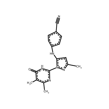 Cc1cc(Nc2ccc(C#N)cc2)n(-c2nc(C)c(C)c(=O)[nH]2)n1